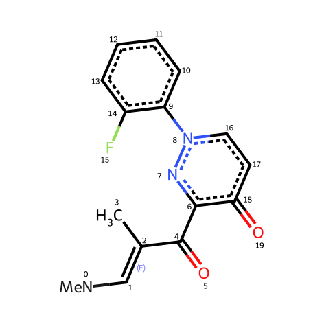 CN/C=C(\C)C(=O)c1nn(-c2ccccc2F)ccc1=O